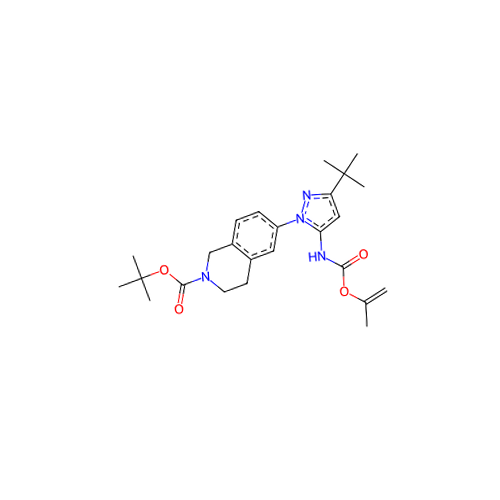 C=C(C)OC(=O)Nc1cc(C(C)(C)C)nn1-c1ccc2c(c1)CCN(C(=O)OC(C)(C)C)C2